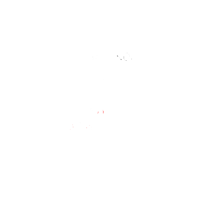 C#CCOC(=O)CC(=O)C=Cc1cccc([N+](=O)[O-])c1